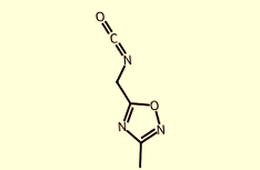 Cc1noc(CN=C=O)n1